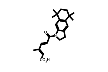 CC(C=CC(=O)N1CCc2cc3c(cc21)C(C)(C)CCC3(C)C)=CC(=O)O